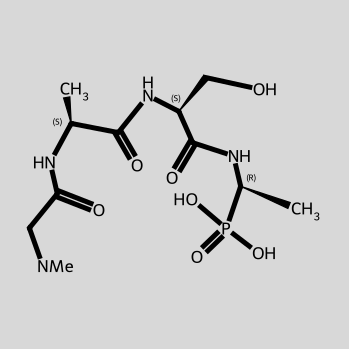 CNCC(=O)N[C@@H](C)C(=O)N[C@@H](CO)C(=O)N[C@@H](C)P(=O)(O)O